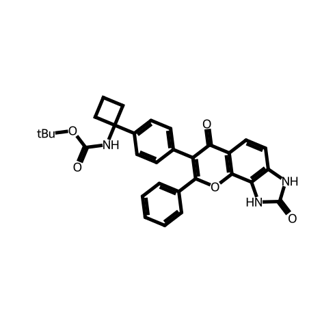 CC(C)(C)OC(=O)NC1(c2ccc(-c3c(-c4ccccc4)oc4c(ccc5[nH]c(=O)[nH]c54)c3=O)cc2)CCC1